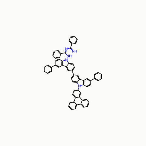 N=C(/N=C(\Nn1c2ccc(-c3ccccc3)cc2c2cc(-c3ccc4c(c3)c3cc(-c5ccccc5)ccc3n4-c3ccc4c5ccccc5c5ccccc5c4c3)ccc21)c1ccccc1)c1ccccc1